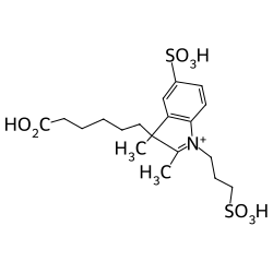 CC1=[N+](CCCS(=O)(=O)O)c2ccc(S(=O)(=O)O)cc2C1(C)CCCCCC(=O)O